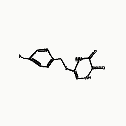 O=c1[nH]cc(SCc2ccc(F)cc2)[nH]c1=O